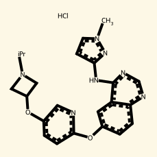 CC(C)N1CC(Oc2ccc(Oc3ccc4ncnc(Nc5ccn(C)n5)c4c3)nc2)C1.Cl